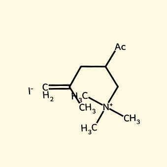 C=C(C)CC(C[N+](C)(C)C)C(C)=O.[I-]